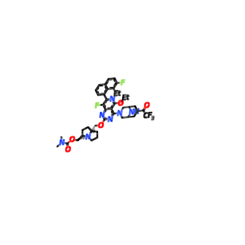 CCOc1nc(-c2cccc3ccc(F)c(CC)c23)c(F)c2nc(OC[C@]34CCCN3[C@@H](COC(=O)N(C)C)CC4)nc(N3CC4CC(C(=O)C(F)(F)F)CC(C3)N4)c12